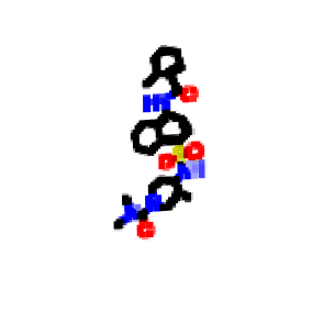 Cc1ccccc1C(=O)Nc1ccc(S(=O)(=O)NC2CCN(C(=O)N(C)C)C[C@@H]2C)c2c1CCCC2